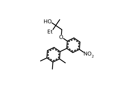 CCC(C)(O)COc1ccc([N+](=O)[O-])cc1-c1ccc(C)c(C)c1C